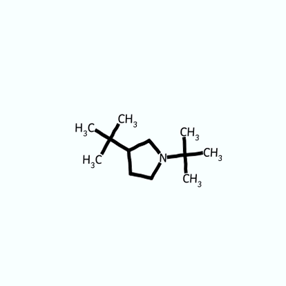 CC(C)(C)C1CCN(C(C)(C)C)C1